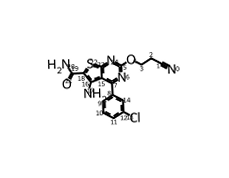 N#CCCOc1nc(-c2cccc(Cl)c2)c2c(N)c(C(N)=O)sc2n1